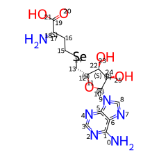 Nc1ncnc2c1ncn2[C@@H]1O[C@H](C[Se]CC[C@H](N)C(=O)O)[C@@H](O)[C@H]1O